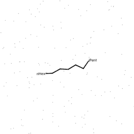 [CH2]CCC(C)CCCCCCCCCCC